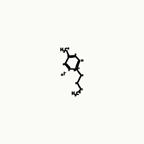 CCCC[n+]1ccc(C)cc1.[I-]